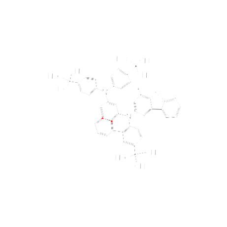 CC(C)(C)c1ccc(N(c2ccc(C(C)(C)C)cc2)c2cccc(N(c3cc(Cl)c4oc5ccccc5c4c3)c3ccc(C(C)(C)C)cc3-c3ccccc3)c2)cc1